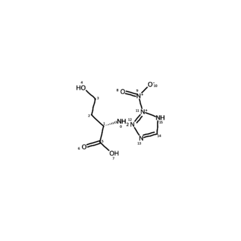 N[C@@H](CCO)C(=O)O.O=[N+]([O-])[n+]1nnc[nH]1